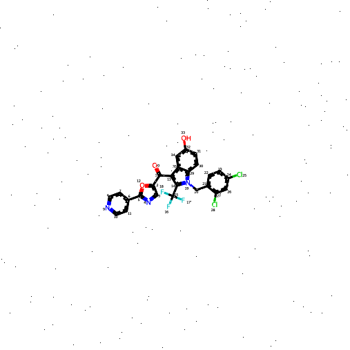 O=C(c1cnc(-c2ccncc2)o1)c1c(C(F)(F)F)n(Cc2ccc(Cl)cc2Cl)c2ccc(O)cc12